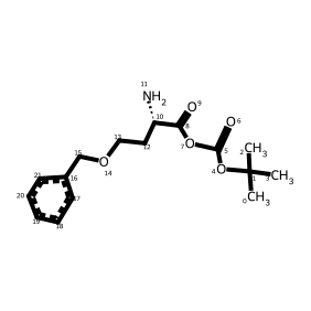 CC(C)(C)OC(=O)OC(=O)[C@@H](N)CCOCc1ccccc1